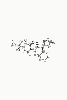 Cc1cc(S(=O)(=O)C2CC2)c(Cl)c(=O)n1C(CC1CCCCC1)C(=O)Nc1ncc(Cl)s1